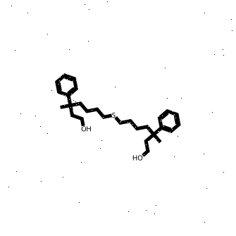 CC(CCO)(CCCCSCCCCC(C)(CCO)c1ccccc1)c1ccccc1